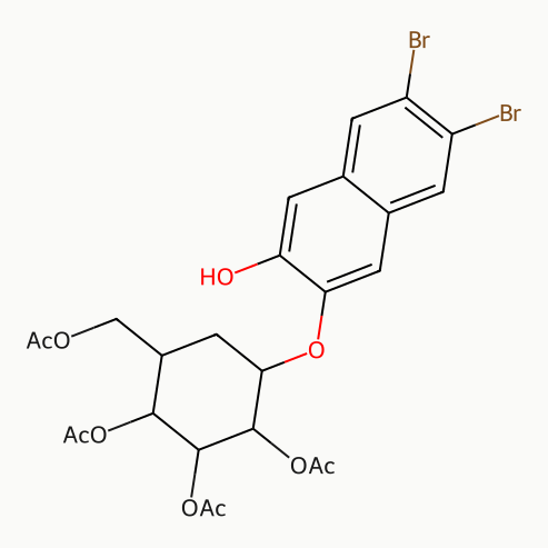 CC(=O)OCC1CC(Oc2cc3cc(Br)c(Br)cc3cc2O)C(OC(C)=O)C(OC(C)=O)C1OC(C)=O